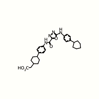 O=C(O)CC1CCC(c2ccc(NC(=O)c3nnc(Nc4ccc(C5CCCCC5)cc4)o3)cc2)CC1